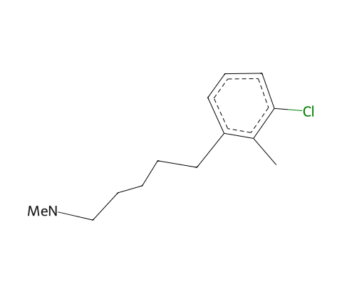 CNCCCCCc1cccc(Cl)c1C